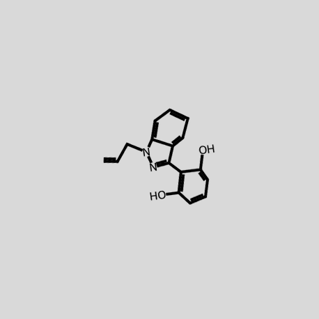 C=CCn1nc(-c2c(O)cccc2O)c2ccccc21